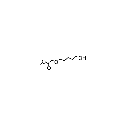 COC(=O)COCCCCCO